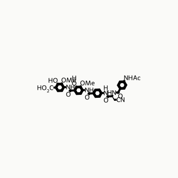 COc1c(NC(=O)c2ccc(NC(=O)c3ccc(NC(=O)[C@H](CC#N)NC(=O)c4ccc(NC(C)=O)cc4)cc3)c(OC)c2O)ccc(C(=O)O)c1O